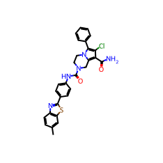 Cc1ccc2nc(-c3ccc(NC(=O)N4CCn5c(c(C(N)=O)c(Cl)c5-c5ccccc5)C4)cc3)sc2c1